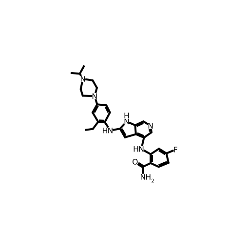 CCc1cc(N2CCN(C(C)C)CC2)ccc1Nc1cc2c(Nc3cc(F)ccc3C(N)=O)cncc2[nH]1